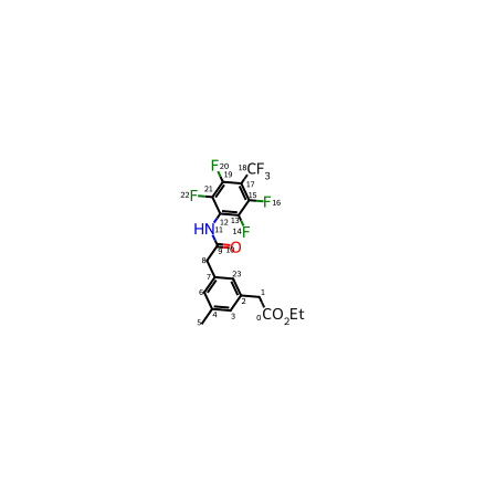 CCOC(=O)Cc1cc(C)cc(CC(=O)Nc2c(F)c(F)c(C(F)(F)F)c(F)c2F)c1